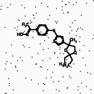 CCC1(CC)OCC(C)(c2csc(Sc3ccc(C(C)=NO)cc3)c2)O1